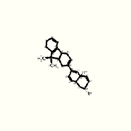 CC1(C)C2=C(C=CCC2)C2CC=C(C3=C[C@@H]4C=C[C@H](I)CC4C=C3)CC21